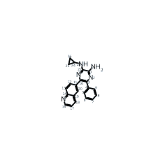 Nc1nc(-c2ccccc2)c(-c2ccc3ncccc3c2)nc1NC1CC1